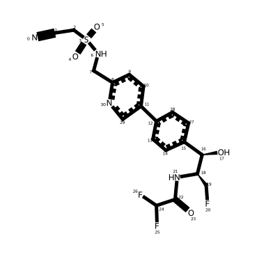 N#CCS(=O)(=O)NCc1ccc(-c2ccc([C@@H](O)[C@@H](CF)NC(=O)C(F)F)cc2)cn1